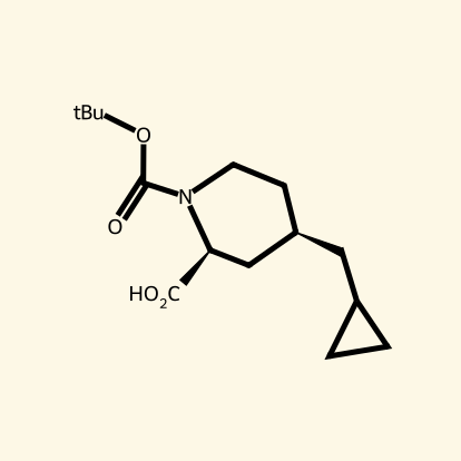 CC(C)(C)OC(=O)N1CC[C@@H](CC2CC2)C[C@H]1C(=O)O